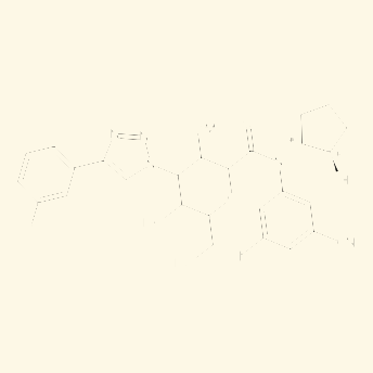 COC1C(C(=O)N(c2cc(Cl)cc(C#N)c2)[C@@H]2CCC[C@H]2O)OC(CO)C(O)C1n1cc(-c2cccc(F)c2)nn1